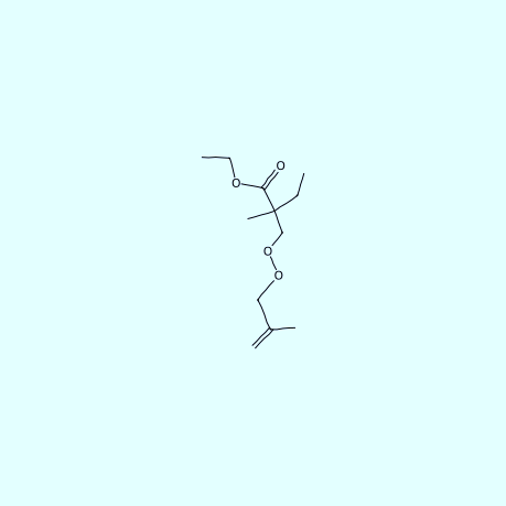 C=C(C)COOCC(C)(CC)C(=O)OCC